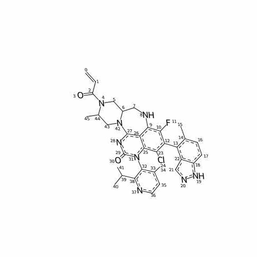 C=CC(=O)N1CC2CNc3c(F)c(-c4c(C)ccc5[nH]ncc45)c(Cl)c4c3c(nc(=O)n4-c3c(C)ccnc3C(C)C)N2CC1C